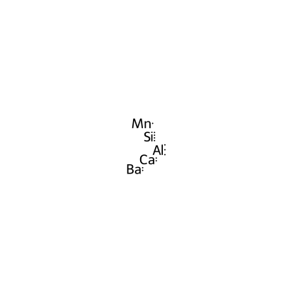 [Al].[Ba].[Ca].[Mn].[Si]